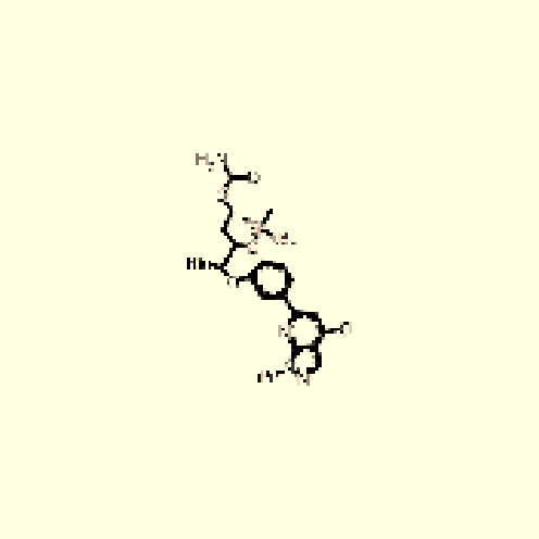 CC(C)n1ncc2c(Cl)cc(-c3cccc(OC(C(CCOC(N)=O)O[Si](C)(C)C(C)(C)C)C(C)(C)C)c3)nc21